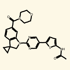 CC(=O)Nc1ccc(-c2cnc(N3CC4(CC4)c4ccc(C(=O)N5CCOCC5)cc43)nc2)s1